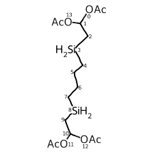 CC(=O)OC(C[SiH2]CCCC[SiH2]CC(OC(C)=O)OC(C)=O)OC(C)=O